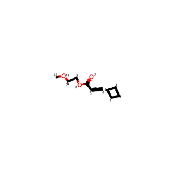 C1CCC1.C=CC(=O)OCCOC